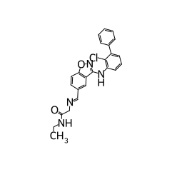 CCNC(=O)CN=Cc1ccc2onc(Nc3cccc(-c4ccccc4)c3Cl)c2c1